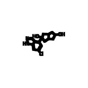 OC1CC2CC(O)(c3cc(Cl)cc4[nH]ncc34)CC2C1